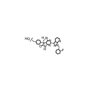 C[C@]1(c2ccc(CC(=O)O)cc2)C(=O)Nc2nc(-c3nn(Cc4ccccc4F)c4ncccc34)nc(N)c21